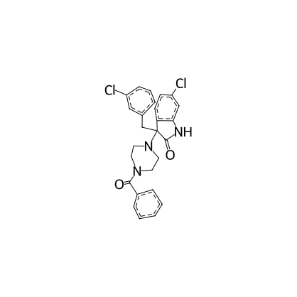 O=C(c1ccccc1)N1CCN(C2(Cc3cccc(Cl)c3)C(=O)Nc3cc(Cl)ccc32)CC1